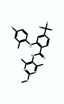 COc1nc(C)c(NC(=O)c2ccc(C(F)(F)F)cc2Nc2ccc(F)cc2C)c(C)n1